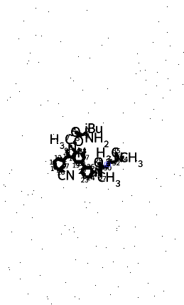 CCC(C)C(N)C(=O)OC(C)n1cc(-c2cccc(C#N)c2)c2cc(-c3cccc(N(C)C(=O)/C=C/CN(C)C)c3)cnc21